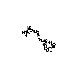 Cc1c(OC2CCC(OC[C@H](C)N3CCN(c4ccc5c(C6CCC(=O)NC6=O)nn(C)c5c4)CC3)CC2)cccc1-c1ccc(N2CCc3cccc(C(=O)Nc4nc5ccccc5s4)c3C2)nc1C(=O)O